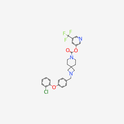 O=C(Oc1cncc(C(F)(F)F)c1)N1CCC2(CC1)CN(Cc1ccc(Oc3ccccc3Cl)cc1)C2